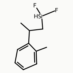 Cc1ccccc1C(C)C[SiH](F)F